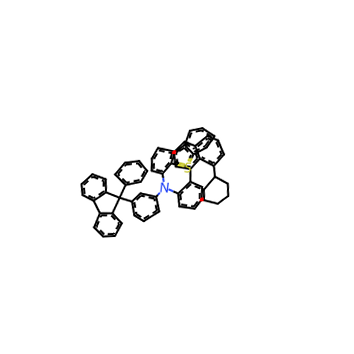 c1ccc(C2(c3cccc(N(c4ccccc4-c4cccc5cccc(C6CCCCC6)c45)c4cccc5c4sc4ccccc45)c3)c3ccccc3-c3ccccc32)cc1